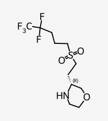 O=S(=O)(CCCC(F)(F)C(F)(F)F)CC[C@@H]1COCCN1